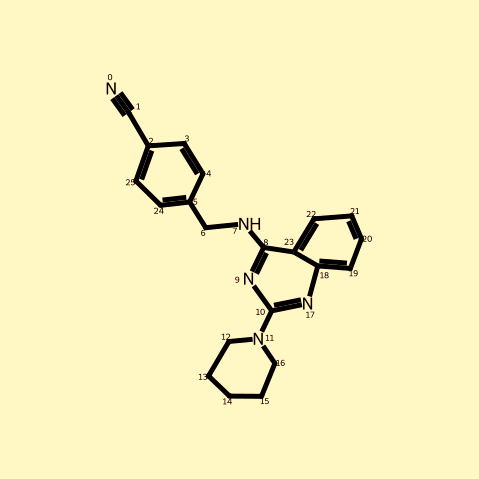 N#Cc1ccc(CNc2nc(N3CCCCC3)nc3ccccc23)cc1